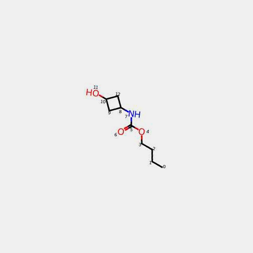 CCCCOC(=O)NC1CC(O)C1